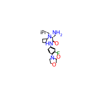 CC(C)CN(C1CCC1)[C@@H](CN)C(=O)Nc1ccc(N2CCOCC2=O)c(F)c1